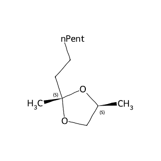 CCCCCCC[C@@]1(C)OC[C@H](C)O1